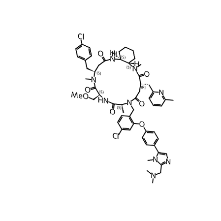 COC[C@@H]1NC(=O)[C@H](C)N(Cc2ccc(Cl)cc2Oc2ccc(-c3cnc(CN(C)C)n3C)cc2)C(=O)C[C@@H](Cc2cccc(C)n2)C(=O)N(C)[C@H]2CCCC[C@@H]2NC(=O)C[C@H](Cc2ccc(Cl)cc2)N(C)C1=O